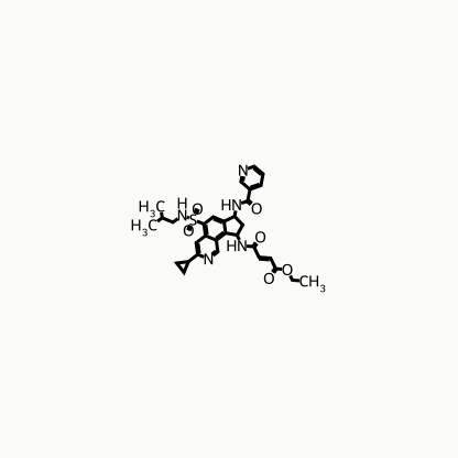 CCOC(=O)/C=C/C(=O)NC1CC(NC(=O)c2cccnc2)c2cc(S(=O)(=O)NCC(C)C)c3cc(C4CC4)ncc3c21